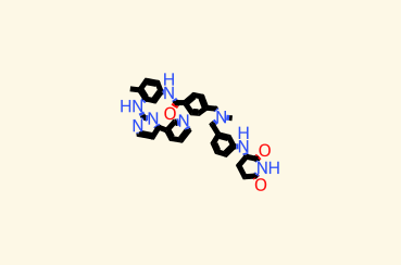 Cc1ccc(NC(=O)c2ccc(CN(C)Cc3cccc(NC4CCC(=O)NC4=O)c3)cc2)cc1Nc1nccc(-c2cccnc2)n1